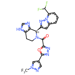 O=C(c1nnc(-c2cnn(C(F)(F)F)c2)o1)N1CCc2[nH]cnc2[C@H]1c1cc2cccc(C(F)F)n2n1